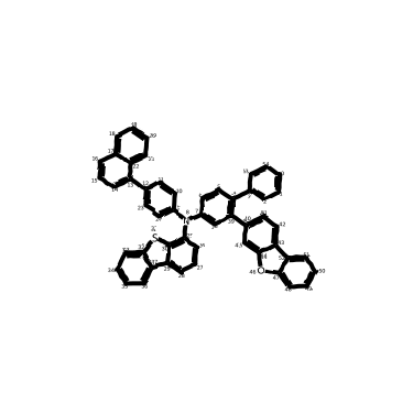 c1ccc(-c2ccc(N(c3ccc(-c4cccc5ccccc45)cc3)c3cccc4c3sc3ccccc34)cc2-c2ccc3c(c2)oc2ccccc23)cc1